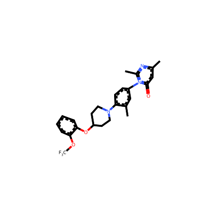 Cc1cc(=O)n(-c2ccc(N3CCC(Oc4ccccc4OC(F)(F)F)CC3)c(C)c2)c(C)n1